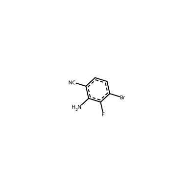 N#Cc1ccc(Br)c(F)c1N